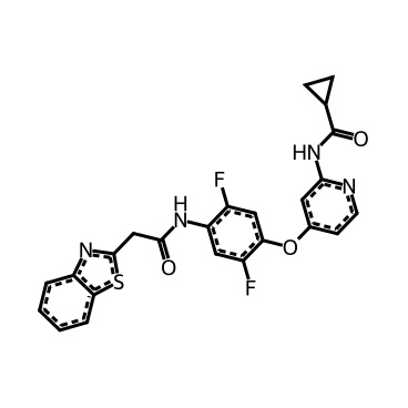 O=C(Cc1nc2ccccc2s1)Nc1cc(F)c(Oc2ccnc(NC(=O)C3CC3)c2)cc1F